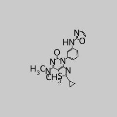 CN(C)c1nc(=O)n(-c2cccc(Nc3ncco3)c2)c2nc(C3CC3)sc12